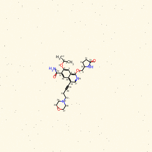 CC(C)Oc1cc2c(OCC3CCC(=O)N3)ncc(C#CCCN3CCOCC3)c2cc1C(N)=O